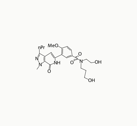 CCCc1nn(C)c2c(=O)[nH]c(-c3cc(S(=O)(=O)N(CCO)CCCO)ccc3OC)cc12